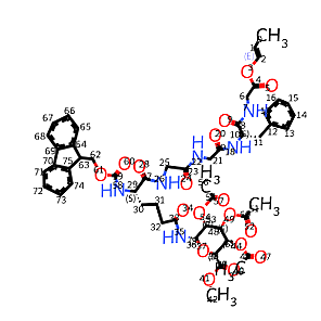 C/C=C/OC(=O)CNC(=O)[C@H](Cc1ccccc1)NC(=O)CNC(=O)CNC(=O)[C@H](CCCC(=O)N[C@H]1O[C@H](C(=O)OC)[C@@H](OC(C)=O)[C@H](OC(C)=O)[C@H]1OC(C)=O)NC(=O)OCC1c2ccccc2-c2ccccc21